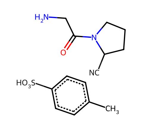 Cc1ccc(S(=O)(=O)O)cc1.N#CC1CCCN1C(=O)CN